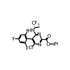 CC(C)OC(=O)c1nc(Cl)c(-c2c(F)cc(F)cc2F)c(N[C@@H](C)C(F)(F)F)n1